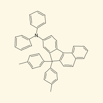 Cc1ccc(C2(c3ccc(C)cc3)c3cc(N(c4ccccc4)c4ccccc4)ccc3-c3c2ccc2ccccc32)cc1